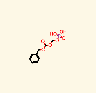 O=C(OCOP(=O)(O)O)OCc1ccccc1